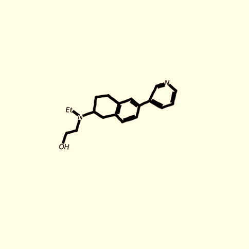 CCN(CCO)C1CCc2cc(-c3cccnc3)ccc2C1